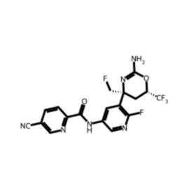 N#Cc1ccc(C(=O)Nc2cnc(F)c([C@]3(CF)C[C@@H](C(F)(F)F)OC(N)=N3)c2)nc1